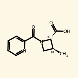 C[C@H]1CN(C(=O)c2ccccn2)[C@@H]1C(=O)O